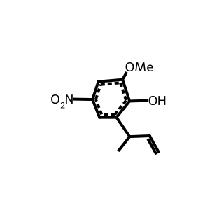 C=CC(C)c1cc([N+](=O)[O-])cc(OC)c1O